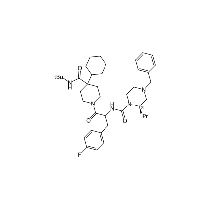 CC(C)[C@@H]1CN(Cc2ccccc2)CCN1C(=O)NC(Cc1ccc(F)cc1)C(=O)N1CCC(C(=O)NC(C)(C)C)(C2CCCCC2)CC1